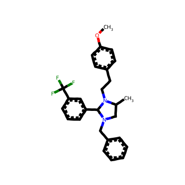 COc1ccc(CCN2C(C)CN(Cc3ccccc3)C2c2cccc(C(F)(F)F)c2)cc1